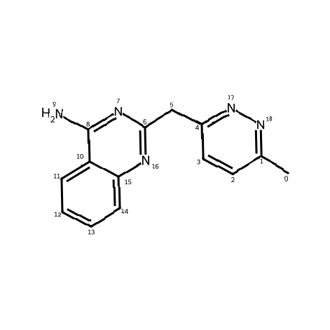 Cc1ccc(Cc2nc(N)c3ccccc3n2)nn1